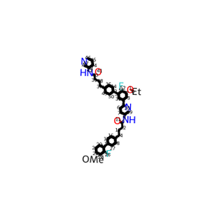 CCOc1cc(-c2ccc(NC(=O)CCCc3ccc(-c4cccc(OC)c4F)cc3)cn2)cc(-c2ccc(CCCC(=O)Nc3cccnc3)cc2)c1F